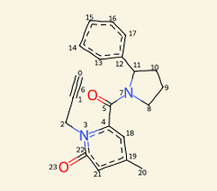 C#CCn1c(C(=O)N2CCCC2c2ccccc2)cc(C)cc1=O